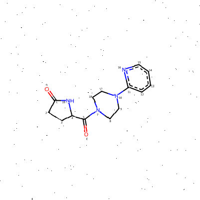 O=C1CCC(C(=O)N2CCN(c3ccccn3)CC2)N1